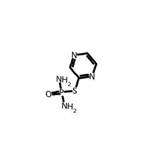 NP(N)(=O)Sc1cnccn1